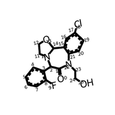 O=C1C(c2ccccc2F)N2CCOC2c2cc(Cl)ccc2N1CCO